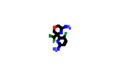 NC1=NC(c2nc(N)ccc2F)(C(F)F)COC1